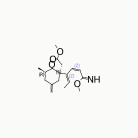 C=C1C[C@@H](C)C(=O)[C@@](CC(=O)OC)(C(/C=C\C(=N)OC)=C\C)C1